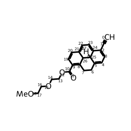 C#CC1=CC=C2CCC3=C(C(=O)OCCOCCOC)C=CC4=CC=C1[C@H]2C43